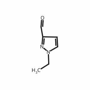 CCn1ccc(C=O)n1